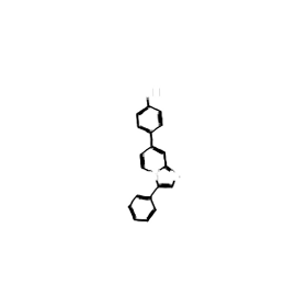 O=Cc1ccc(-c2ccn3c(-c4ccccc4)cnc3c2)cc1